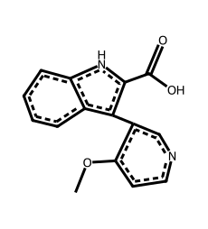 COc1ccncc1-c1c(C(=O)O)[nH]c2ccccc12